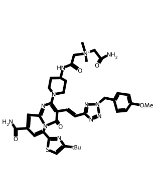 COc1ccc(Cn2nnc(C=Cc3c(N4CCC(NC(=O)C[N+](C)(C)CC(N)=O)CC4)nc4cc(C(N)=O)cc(-c5nc(C(C)(C)C)cs5)n4c3=O)n2)cc1